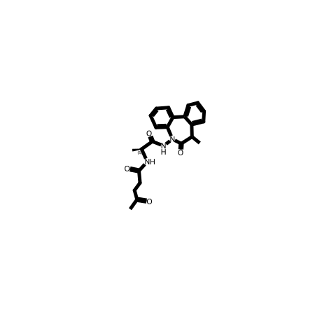 CC(=O)CCC(=O)N[C@@H](C)C(=O)NN1C(=O)C(C)c2ccccc2-c2ccccc21